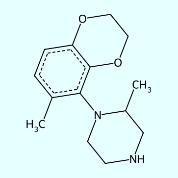 Cc1ccc2c(c1N1CCNCC1C)OCCO2